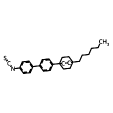 CCCCCCC12CCC(c3ccc(-c4ccc(N=C=S)cc4)cc3)(CC1)CC2